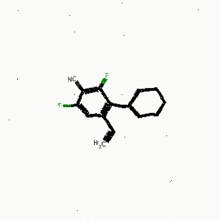 C=Cc1cc(F)c(C#N)c(F)c1C1CCCCC1